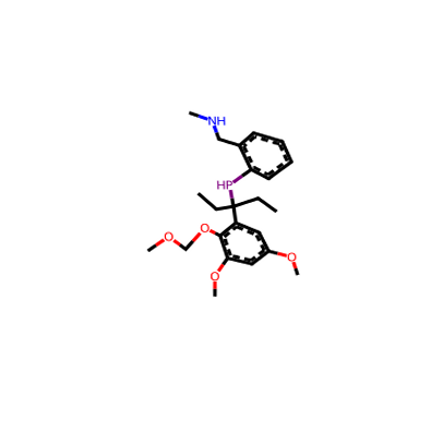 CCC(CC)(Pc1ccccc1CNC)c1cc(OC)cc(OC)c1OCOC